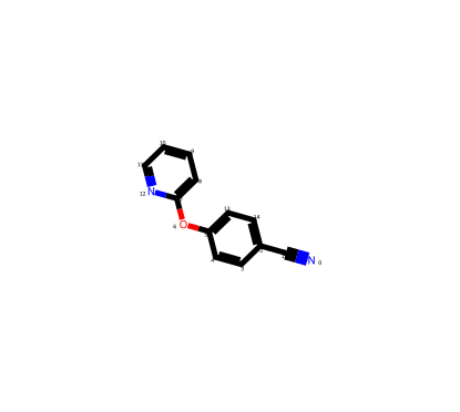 N#Cc1ccc(Oc2cc[c]cn2)cc1